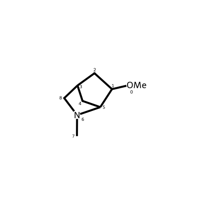 COC1CC2CC1N(C)C2